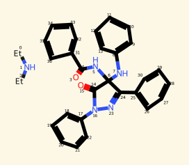 CCNCC.O=C(NC1(Nc2ccccc2)C(=O)N(c2ccccc2)N=C1c1ccccc1)c1ccccc1